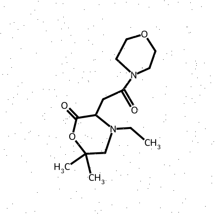 CCN1CC(C)(C)OC(=O)C1CC(=O)N1CCOCC1